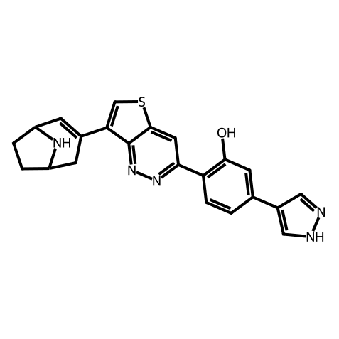 Oc1cc(-c2cn[nH]c2)ccc1-c1cc2scc(C3=CC4CCC(C3)N4)c2nn1